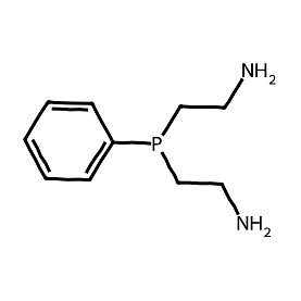 NCCP(CCN)c1ccccc1